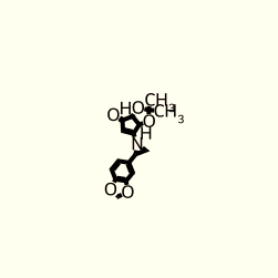 CC1(C)O[C@@H]2C(=O)C=C(N3CC3c3ccc4c(c3)OCO4)[C@@H]2O1